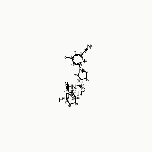 Cc1cc(C#N)nc(N2CC[C@H](C(=O)N[C@@H]3C[C@@H]4CC[C@H]3N4C#N)C2)c1